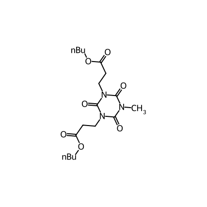 CCCCOC(=O)CCn1c(=O)n(C)c(=O)n(CCC(=O)OCCCC)c1=O